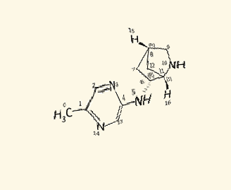 Cc1cnc(N[C@@H]2C[C@@H]3CN[C@H]2C3)cn1